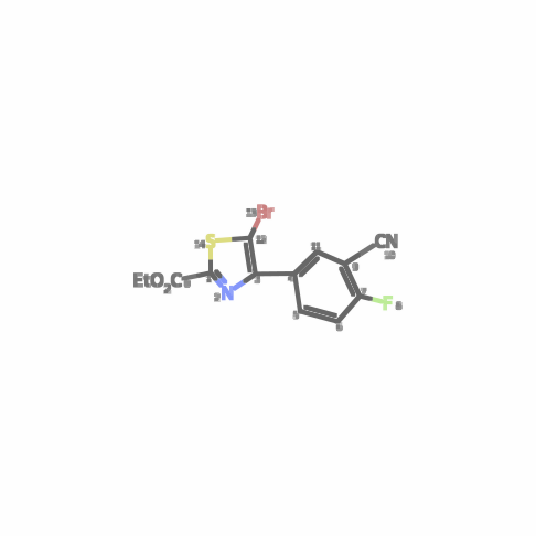 CCOC(=O)c1nc(-c2ccc(F)c(C#N)c2)c(Br)s1